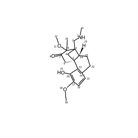 CNCC12C[C@]3(CC(=O)C1(C)OC)c1c(ccc(OC)c1O)CC[C@@H]23